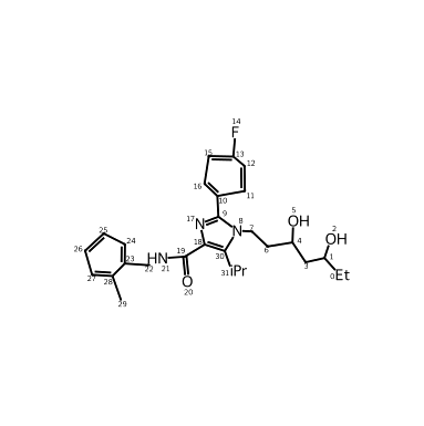 [CH2]CC(O)CC(O)CCn1c(-c2ccc(F)cc2)nc(C(=O)NCc2ccccc2C)c1C(C)C